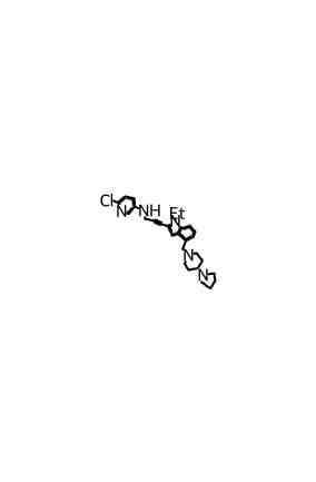 CCn1c(C#CCNc2ccc(Cl)nc2)cc2c(CN3CCC(N4CCCC4)CC3)cccc21